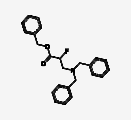 O=C(OCc1ccccc1)C(F)CN(Cc1ccccc1)Cc1ccccc1